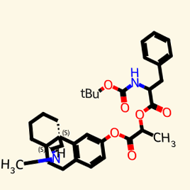 CC(OC(=O)C(Cc1ccccc1)NC(=O)OC(C)(C)C)C(=O)Oc1ccc2c(c1)[C@]13CCCC[C@@H]1C(C2)N(C)CC3